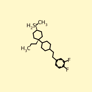 CCC[C@]1(C2CCC(CCc3ccc(F)c(F)c3)CC2)CC[C@H]([SiH2]C)CC1